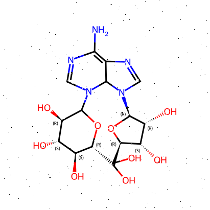 NC1=C2N=CN([C@@H]3O[C@H](CO)[C@@H](O)[C@H]3O)C2N(C2O[C@H](CO)[C@@H](O)[C@H](O)[C@H]2O)C=N1